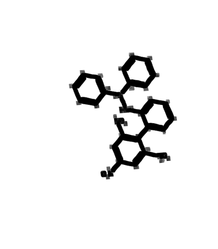 O=[N+]([O-])c1cc([N+](=O)[O-])c(-c2ccccc2NN(c2ccccc2)c2ccccc2)c([N+](=O)[O-])c1